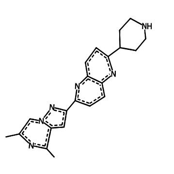 Cc1cn2nc(-c3ccc4nc(C5CCNCC5)ccc4n3)cc2c(C)n1